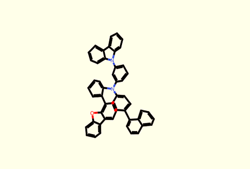 c1cc(N(c2ccc(-c3cccc4ccccc34)cc2)c2ccccc2-c2cccc3c2oc2ccccc23)cc(-n2c3ccccc3c3ccccc32)c1